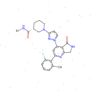 CCNC(=O)[C@@H]1CCCN(c2ccn(-c3cc(-c4c(F)cccc4C#N)nc4c3C(=O)NC4)n2)C1